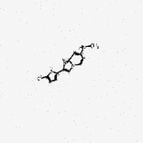 CNc1ccn2cc(-c3ccc(Cl)s3)nc2c1